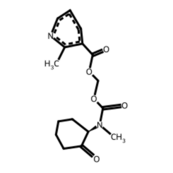 Cc1ncccc1C(=O)OCOC(=O)N(C)[C@@H]1CCCCC1=O